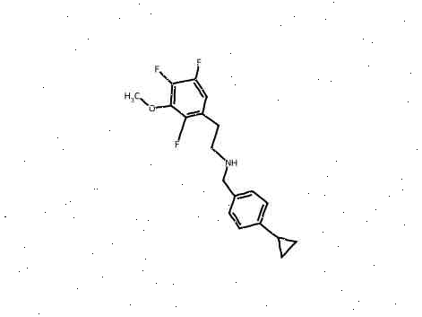 COc1c(F)c(F)cc(CCNCc2ccc(C3CC3)cc2)c1F